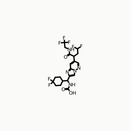 O=C(O)NC(c1cn2ncc(C(CC(F)F)C(=O)NCC(F)(F)F)cc2n1)C1CCC(F)(F)CC1